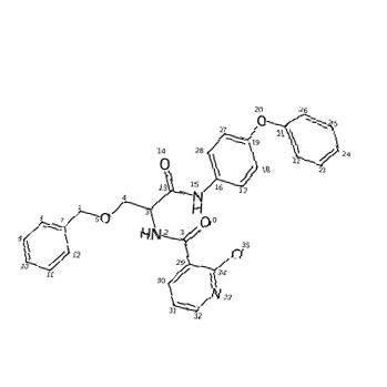 O=C(NC(COCc1ccccc1)C(=O)Nc1ccc(Oc2ccccc2)cc1)c1cccnc1Cl